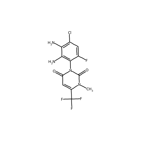 Cn1c(C(F)(F)F)cc(=O)n(-c2c(F)cc(Cl)c(N)c2N)c1=O